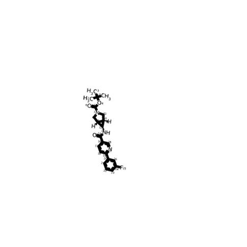 CC(C)(C)OC(=O)N1C[C@@H]2[C@H](C1)[C@H]2NC(=O)c1ccc(-c2cccc(F)c2)nc1